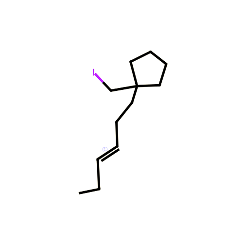 CC/C=C/CCC1(CI)CCCC1